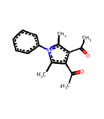 CC(=O)c1c(C(C)=O)c(C)n(-c2ccccc2)c1C